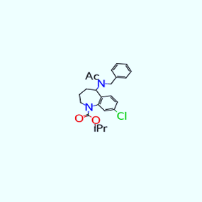 CC(=O)N(Cc1ccccc1)C1CCCN(C(=O)OC(C)C)c2cc(Cl)ccc21